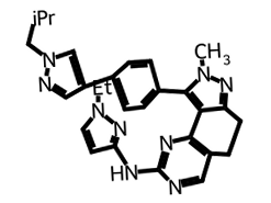 CCn1ccc(Nc2ncc3c(n2)-c2c(nn(C)c2-c2ccc(-c4cnn(CC(C)C)c4)cc2)CC3)n1